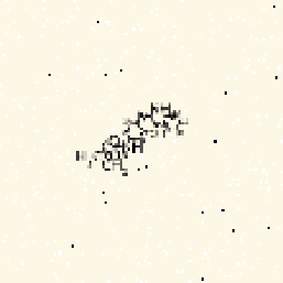 CC(C)(C)OC(=O)Nc1ccc2nc(N)c(-c3ccccc3)cc2c1